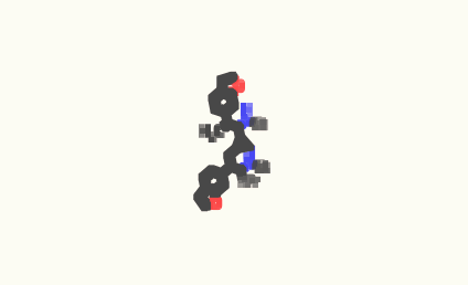 C=C(c1ccc2ccoc2c1)C(NCC)C1CC1/C=C(/c1ccc2ccoc2c1)C(CCC)NCC